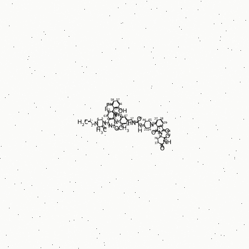 C=CCN1CCN(c2nc(=O)n(-c3c(C)cc(CNC(=O)NC4CCN(c5cccc6c5C(=O)N(C5CCC(=O)NC5=O)C6=O)CC4)cc3C(C)C)c3nc(-c4c(O)cccc4F)c(F)cc23)[C@@H](C)C1